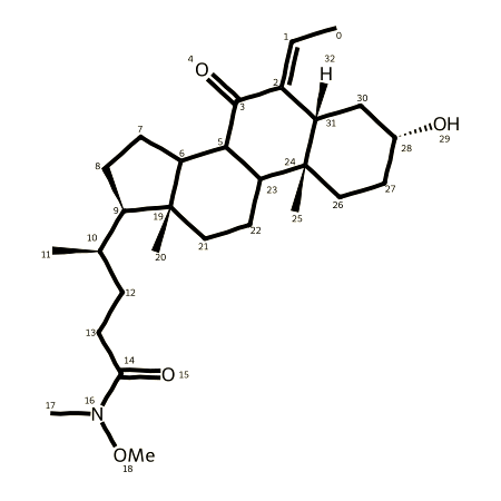 C/C=C1/C(=O)C2C3CC[C@H]([C@H](C)CCC(=O)N(C)OC)[C@@]3(C)CCC2[C@@]2(C)CC[C@@H](O)C[C@@H]12